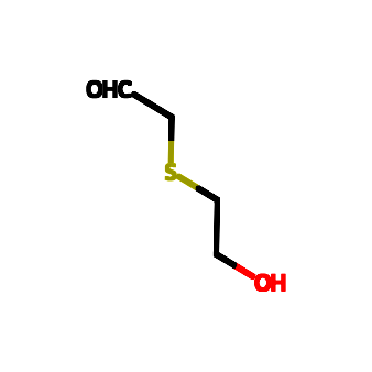 O=CCSCCO